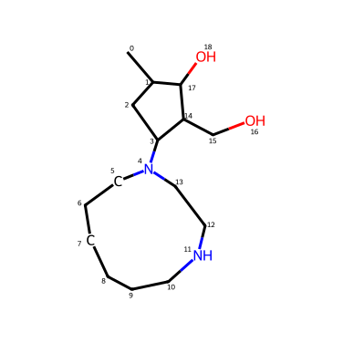 CC1CC(N2CCCCCCNCC2)C(CO)C1O